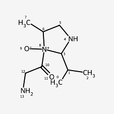 CC(C)C1NCC(C)[N+]1([O-])C(=O)CN